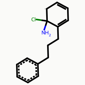 NC1(Cl)[CH]C=CC=C1CCCc1ccccc1